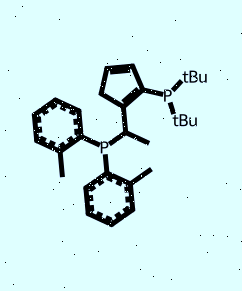 Cc1ccccc1P(c1ccccc1C)C(C)C1=C(P(C(C)(C)C)C(C)(C)C)C=CC1